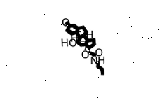 CCCCNC(=O)C(=O)[C@H]1CC[C@H]2[C@@H]3CCC4=CC(=O)C=C[C@]4(C)[C@H]3[C@@H](O)C[C@]12C